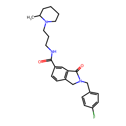 CC1CCCCN1CCCNC(=O)c1ccc2c(c1)C(=O)N(Cc1ccc(F)cc1)C2